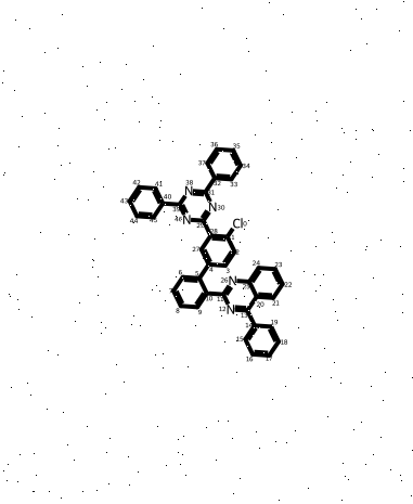 Clc1ccc(-c2ccccc2-c2nc(-c3ccccc3)c3ccccc3n2)cc1-c1nc(-c2ccccc2)nc(-c2ccccc2)n1